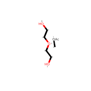 COC(C)=O.OCCOCCO